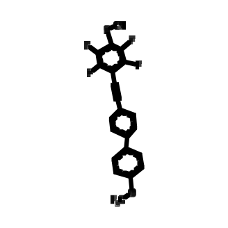 N#CSc1c(F)c(F)c(C#Cc2ccc(-c3ccc(OC(F)(F)F)cc3)cc2)c(F)c1F